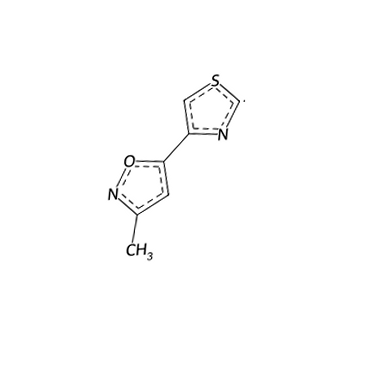 Cc1cc(-c2cs[c]n2)on1